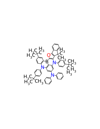 CC(C)(C)c1ccc(N2c3ccc(C(C)(C)C)cc3B3c4oc5c(c4N(c4ccc(C(C)(C)C)cc4)c4cc(N(c6ccccc6)c6ccccc6)cc2c43)C(C)(C)c2ccccc2-5)cc1